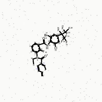 C=C/C=C\C(=C/C)C(=O)N(CC)c1cccc(C(=O)Nc2c(Cl)cc(C(F)(C(F)(F)F)C(F)(F)F)cc2Br)c1F